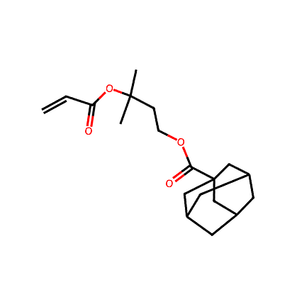 C=CC(=O)OC(C)(C)CCOC(=O)C12CC3CC(CC(C3)C1)C2